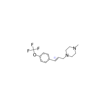 CN1CCN(C/C=C/c2ccc(OC(F)(F)F)cc2)CC1